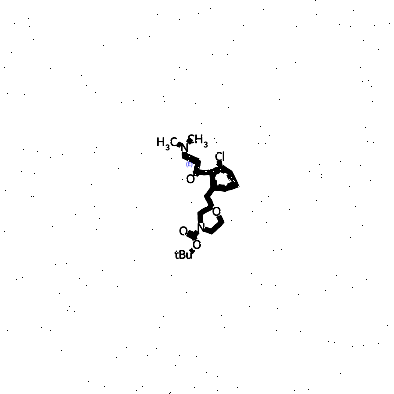 CN(C)/C=C/C(=O)c1c(Cl)cccc1CC1CN(C(=O)OC(C)(C)C)CCO1